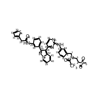 CS(=O)(=O)CCN(Cc1cccc(Nc2nccc(-c3c(-c4cccc(NC(=O)Cc5cccs5)c4)nn4ccccc34)n2)c1)C(=O)C(F)(F)F